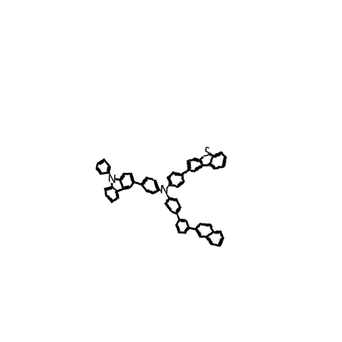 c1ccc(-n2c3ccccc3c3cc(-c4ccc(N(c5ccc(-c6cccc(-c7ccc8ccccc8c7)c6)cc5)c5ccc(-c6ccc7sc8ccccc8c7c6)cc5)cc4)ccc32)cc1